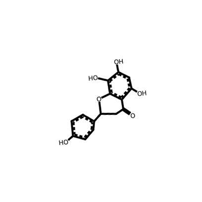 O=C1CC(c2ccc(O)cc2)Oc2c(O)c(O)cc(O)c21